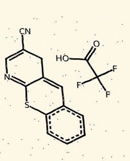 N#CC1=CN=C2Sc3ccccc3C=C2C1.O=C(O)C(F)(F)F